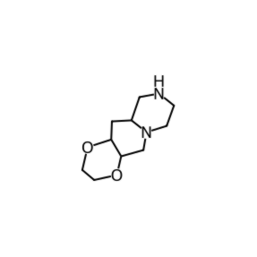 C1CN2CC3OCCOC3CC2CN1